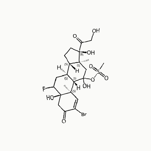 C[C@]12CC(O)(OS(C)(=O)=O)[C@H]3[C@@H](CC(F)C4(O)CC(=O)C(Br)=C[C@]34C)[C@@H]1CC[C@]2(O)C(=O)CO